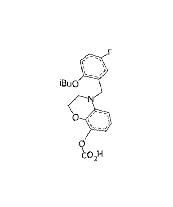 CC(C)COc1ccc(F)cc1CN1CCOc2c(OC(=O)O)cccc21